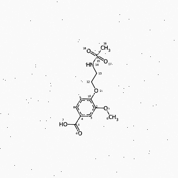 COc1cc(C(=O)O)ccc1OCCNS(C)(=O)=O